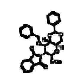 CS[C@@H]1O[C@@H]2COC(c3ccccc3)O[C@H]2[C@H](OCc2ccccc2)[C@H]1N1C(=O)c2ccccc2C1=O